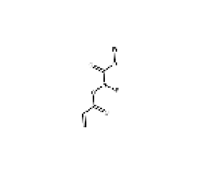 C=CC(=O)ON(F)C(=O)OCC